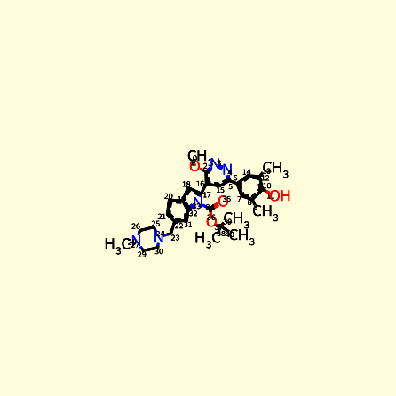 COc1nnc(-c2cc(C)c(O)c(C)c2)cc1-c1cc2ccc(CN3CCN(C)CC3)cc2n1C(=O)OC(C)(C)C